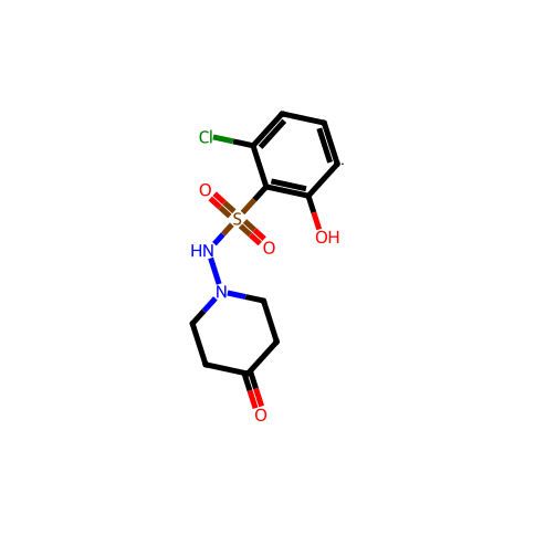 O=C1CCN(NS(=O)(=O)c2c(O)[c]ccc2Cl)CC1